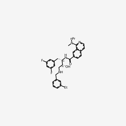 CCCN(C)c1nccc2ccc(C(=O)N[C@@H](Cc3cc(F)cc(F)c3)[C@H](O)CNCc3cccc(CC)c3)cc12